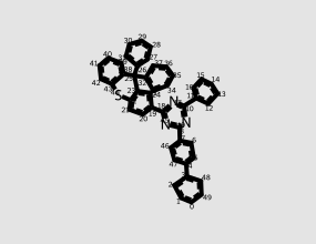 c1ccc(-c2ccc(-c3nc(-c4ccccc4)nc(-c4ccc5c(c4)C(c4ccccc4)(c4ccccc4)c4ccccc4S5)n3)cc2)cc1